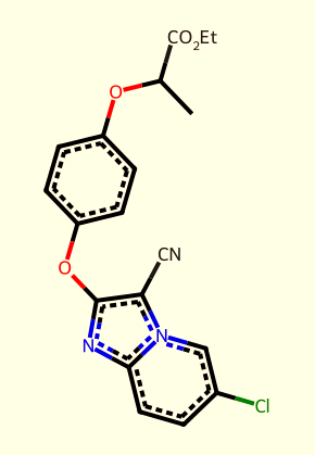 CCOC(=O)C(C)Oc1ccc(Oc2nc3ccc(Cl)cn3c2C#N)cc1